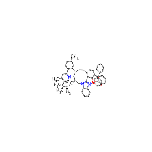 C=C1C[n+]2c(n(-c3cccc(-c4ccccc4)c3)c3ccccc32)-c2c(ccc3c2oc2ccccc23)CCC2c3cc(C)ccc3-c3cc(C)c([Si](C)(C)C)c[n+]3C12